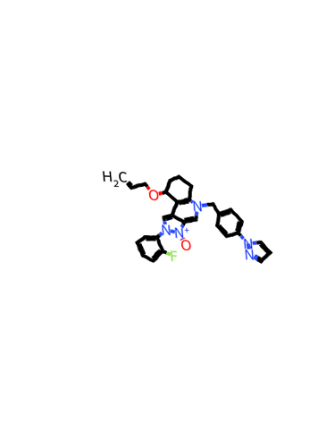 C=CCOC1CCCc2c1c1cn(-c3ccccc3F)[n+](=O)c-1cn2Cc1ccc(-n2cccn2)cc1